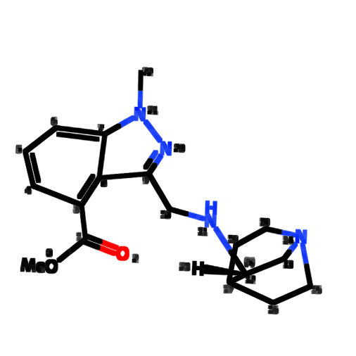 COC(=O)c1cccc2c1c(CN[C@@H]1CN3CCC1CC3)nn2C